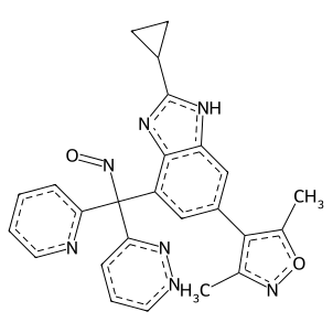 Cc1noc(C)c1-c1cc(C(N=O)(c2ccccn2)c2cccnn2)c2nc(C3CC3)[nH]c2c1